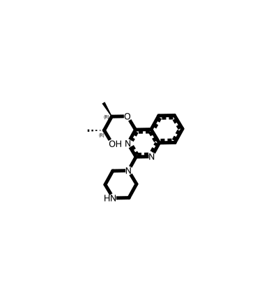 C[C@@H](O)[C@@H](C)Oc1nc(N2CCNCC2)nc2ccccc12